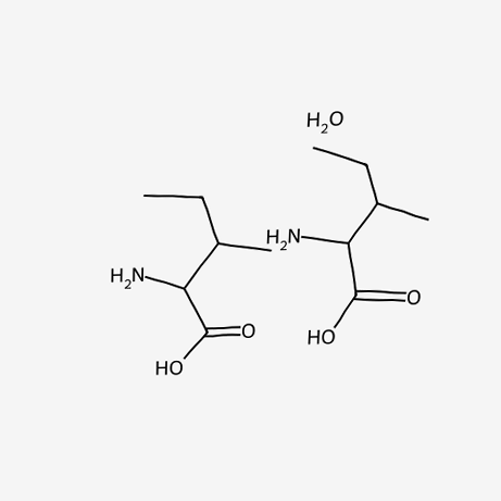 CCC(C)C(N)C(=O)O.CCC(C)C(N)C(=O)O.O